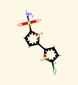 NS(=O)(=O)c1ccc(-c2ccc(Cl)s2)s1